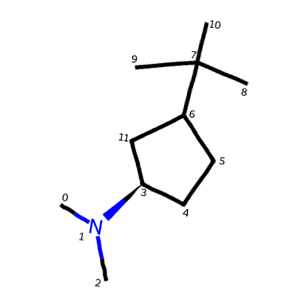 CN(C)[C@@H]1CCC(C(C)(C)C)C1